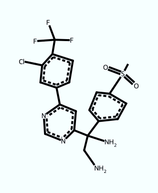 CS(=O)(=O)c1ccc(C(N)(CN)c2cc(-c3ccc(C(F)(F)F)c(Cl)c3)ncn2)cc1